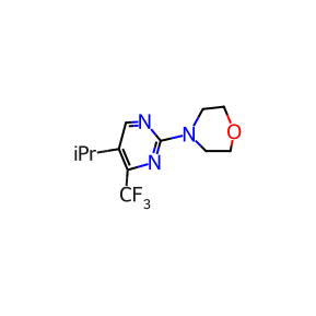 CC(C)c1cnc(N2CCOCC2)nc1C(F)(F)F